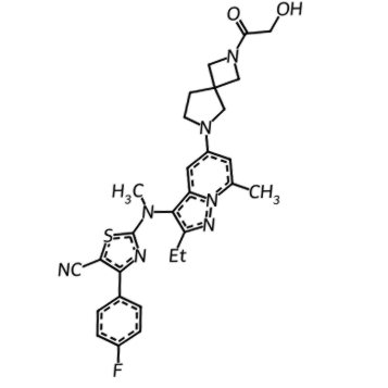 CCc1nn2c(C)cc(N3CCC4(CN(C(=O)CO)C4)C3)cc2c1N(C)c1nc(-c2ccc(F)cc2)c(C#N)s1